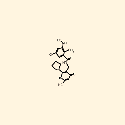 CCNc1cc(Cl)cc(C(=O)NCc2c(N3CCCC3)[nH]c(C#N)cc2=O)c1C